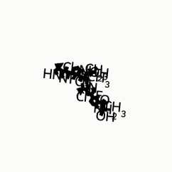 CN(CCO)C(=O)c1c(N)ccc(-c2cnc3c(c2Cl)C2(CC2)CN3CN(CC(C)(C)O)C(=O)c2c(N)ccc(-c3cnc4c(c3Cl)C3(CC3)CN4)c2F)c1F